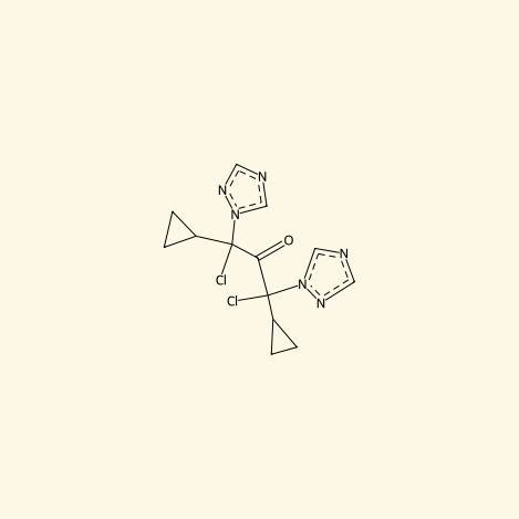 O=C(C(Cl)(C1CC1)n1cncn1)C(Cl)(C1CC1)n1cncn1